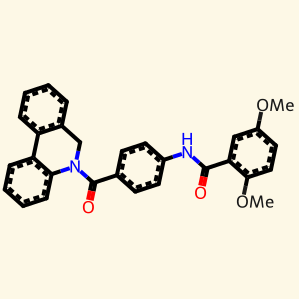 COc1ccc(OC)c(C(=O)Nc2ccc(C(=O)N3Cc4ccccc4-c4ccccc43)cc2)c1